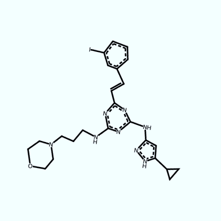 Ic1cccc(/C=C/c2nc(NCCCN3CCOCC3)nc(Nc3cc(C4CC4)[nH]n3)n2)c1